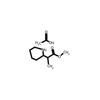 CC(=O)O.COC(=O)C(C)C1CCCCN1